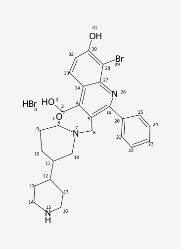 Br.O=C(O)c1c(CN2CCCC(C3CCNCC3)C2)c(-c2ccccc2)nc2c(Br)c(O)ccc12